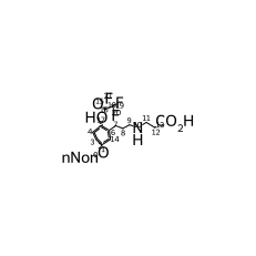 CCCCCCCCCOc1cccc(CCCNCCC(=O)O)c1.O=C(O)C(F)(F)F